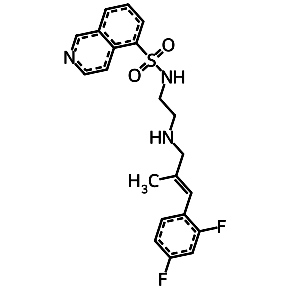 C/C(=C\c1ccc(F)cc1F)CNCCNS(=O)(=O)c1cccc2cnccc12